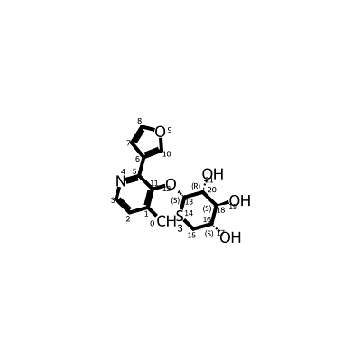 Cc1ccnc(-c2ccoc2)c1O[C@H]1SC[C@@H](O)[C@H](O)[C@H]1O